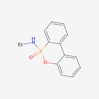 CCNP1(=O)Oc2ccccc2-c2ccccc21